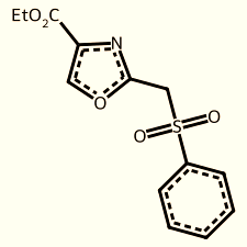 CCOC(=O)c1coc(CS(=O)(=O)c2ccccc2)n1